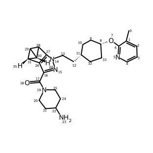 Cc1cccnc1O[C@H]1CC[C@@H](CCn2nc(C(=O)N3CCC(N)CC3)c3c2C2C4[C@H]2[C@H]34)CC1